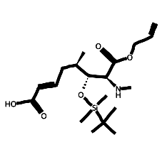 C=CCOC(=O)[C@@H](NC)[C@H](O[Si](C)(C)C(C)(C)C)[C@H](C)C/C=C/C(=O)O